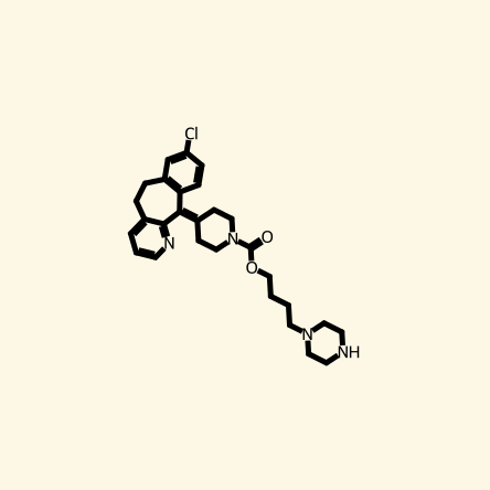 O=C(OCCCCN1CCNCC1)N1CCC(=C2c3ccc(Cl)cc3CCc3cccnc32)CC1